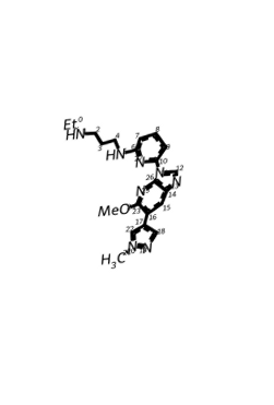 CCNCCCNc1cccc(-n2cnc3cc(-c4cnn(C)c4)c(OC)nc32)n1